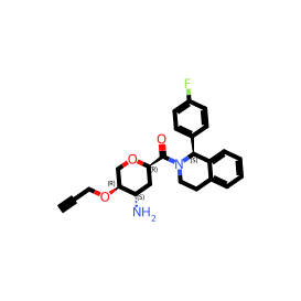 C#CCO[C@H]1CO[C@@H](C(=O)N2CCc3ccccc3[C@@H]2c2ccc(F)cc2)C[C@@H]1N